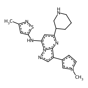 Cc1cc(Nc2cc(C3CCCNC3)nc3c(-c4ccn(C)c4)cnn23)sn1